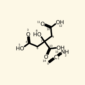 C=C=N.O=C(O)CC(O)(CC(=O)O)C(=O)O